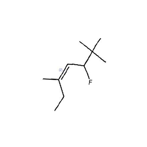 CC/C(C)=C\C(F)C(C)(C)C